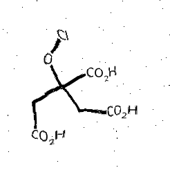 O=C(O)CC(CC(=O)O)(OCl)C(=O)O